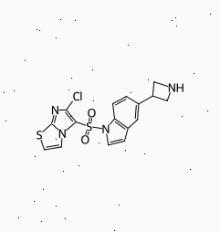 O=S(=O)(c1c(Cl)nc2sccn12)n1ccc2cc(C3CNC3)ccc21